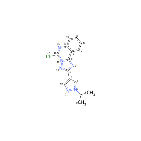 CC(C)n1cc(-c2nc3c4ccccc4nc(Cl)n3n2)cn1